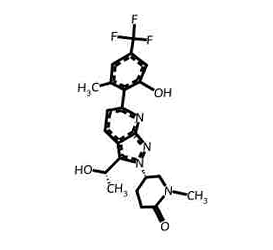 Cc1cc(C(F)(F)F)cc(O)c1-c1ccc2c([C@H](C)O)n([C@H]3CCC(=O)N(C)C3)nc2n1